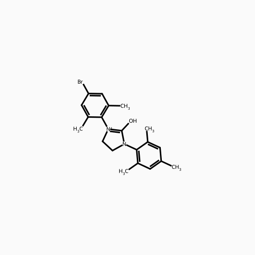 Cc1cc(C)c(N2CC[N+](c3c(C)cc(Br)cc3C)=C2O)c(C)c1